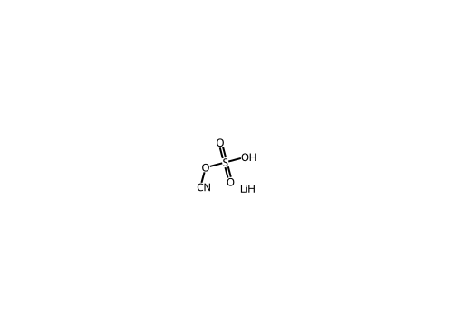 N#COS(=O)(=O)O.[LiH]